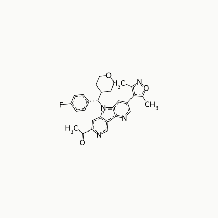 CC(=O)c1cc2c(cn1)c1ncc(-c3c(C)noc3C)cc1n2[C@H](c1ccc(F)cc1)C1CCOCC1